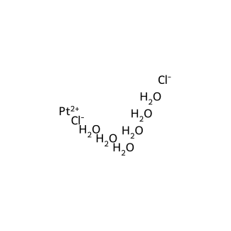 O.O.O.O.O.O.[Cl-].[Cl-].[Pt+2]